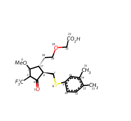 COC1C(C(F)(F)F)C(=O)[C@H](CSc2ccc(C)c(C)c2)[C@H]1CCOCC(=O)O